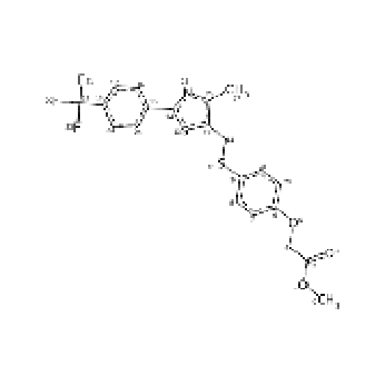 COC(=O)COc1ccc(SCc2sc(-c3ccc(C(F)(F)F)cc3)nc2C)cc1